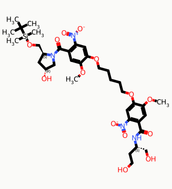 COc1cc(C(=O)N[C@H](CO)CCO)c([N+](=O)[O-])cc1OCCCCCOc1cc([N+](=O)[O-])c(C(=O)N2C[C@H](O)C[C@H]2CO[Si](C)(C)C(C)(C)C)cc1OC